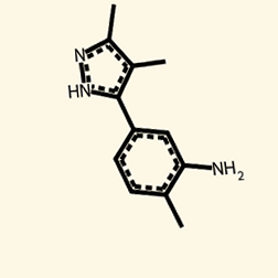 Cc1ccc(-c2[nH]nc(C)c2C)cc1N